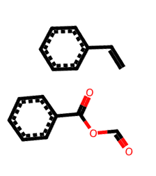 C=Cc1ccccc1.O=COC(=O)c1ccccc1